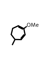 COC1=CCCC(C)C=C1